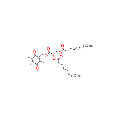 CCCCCCCCCCCCCCCC(=O)OCC(OC(=O)CCCCCCCCCCCCCCC)C(=O)OCC1=C(C)C(=O)C(C)=C(C)C1=O